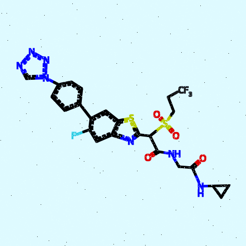 O=C(CNC(=O)C(c1nc2cc(F)c(-c3ccc(-n4cnnn4)cc3)cc2s1)S(=O)(=O)CCC(F)(F)F)NC1CC1